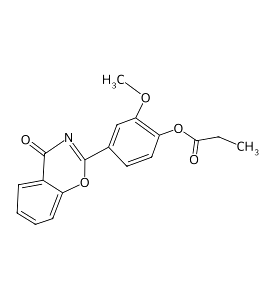 CCC(=O)Oc1ccc(-c2nc(=O)c3ccccc3o2)cc1OC